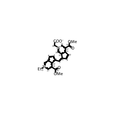 CCn1cc2ccc(/C=C3/C=Cc4c(C(=O)OC)c[n+](CC(=O)[O-])cc43)c-2c(C(=O)OC)c1